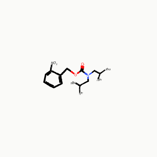 CCCCC(CCC)CN(CC(CCC)CCCC)C(=O)OCc1ccccc1[N+](=O)[O-]